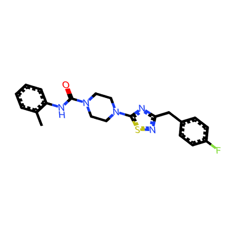 Cc1ccccc1NC(=O)N1CCN(c2nc(Cc3ccc(F)cc3)ns2)CC1